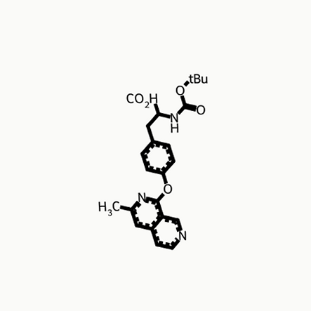 Cc1cc2ccncc2c(Oc2ccc(CC(NC(=O)OC(C)(C)C)C(=O)O)cc2)n1